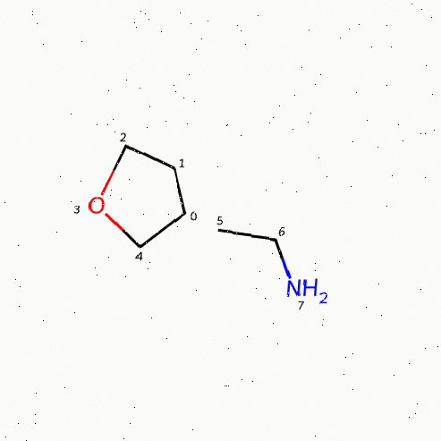 C1CCOC1.CCN